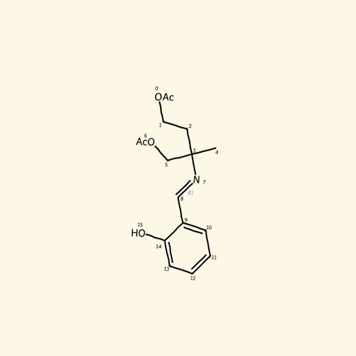 CC(=O)OCCC(C)(COC(C)=O)/N=C/c1ccccc1O